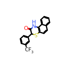 O=C1Nc2c(ccc3ccccc23)SC1c1cccc(C(F)(F)F)c1